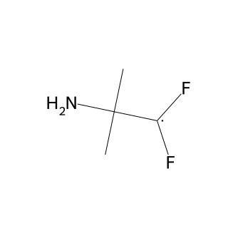 CC(C)(N)[C](F)F